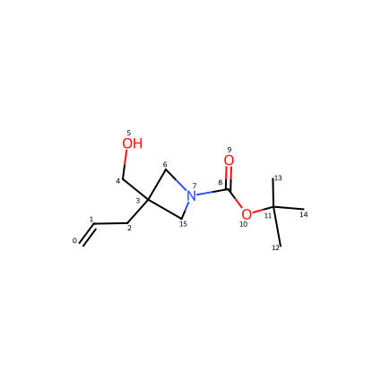 C=CCC1(CO)CN(C(=O)OC(C)(C)C)C1